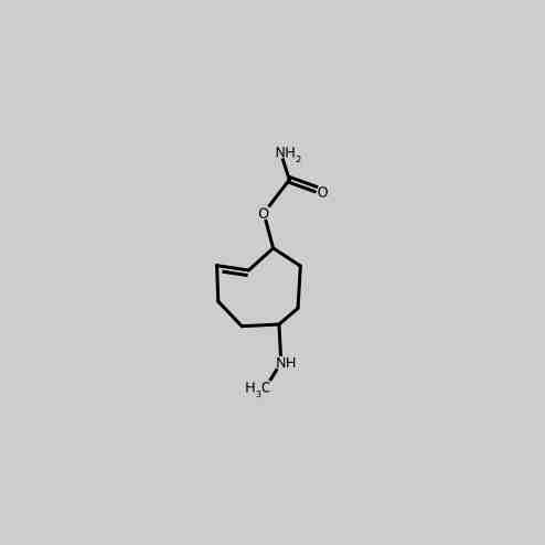 CNC1CC/C=C/C(OC(N)=O)CC1